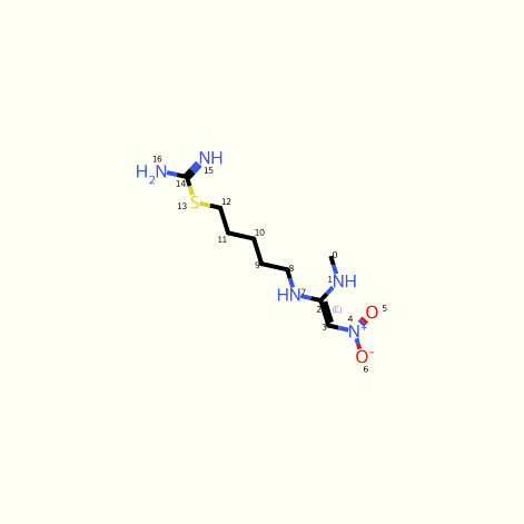 CN/C(=C\[N+](=O)[O-])NCCCCCSC(=N)N